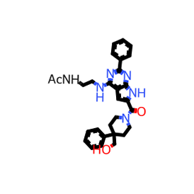 CC(=O)NCCNc1nc(-c2ccccc2)nc2[nH]c(C(=O)N3CCC(CO)(c4ccccc4)CC3)cc12